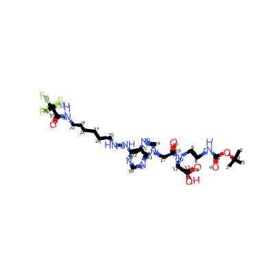 CC(C)(C)OC(=O)NCCN(CC(=O)O)C(=O)Cn1cnc2c(NNCCCCCCNC(=O)C(F)(F)F)ncnc21